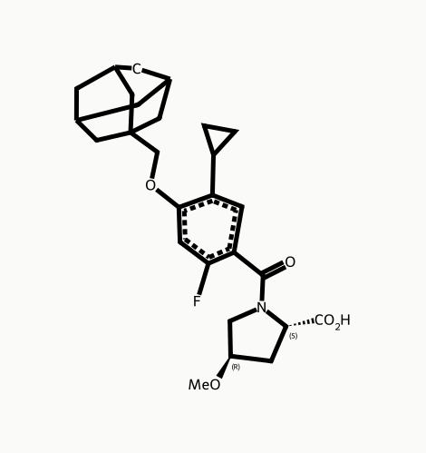 CO[C@@H]1C[C@@H](C(=O)O)N(C(=O)c2cc(C3CC3)c(OCC34CC5CC(CC(C5)C3)C4)cc2F)C1